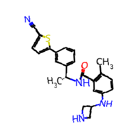 Cc1ccc(NC2CNC2)cc1C(=O)N[C@H](C)c1cccc(-c2ccc(C#N)s2)c1